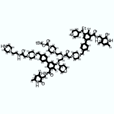 CCN(c1cc(-c2ccc(CN3CCN(CC(=O)N(CCN4CCN(C(=O)OC(C)(C)C)CC4)CCN(c4cc(-c5ccc(CN6CCN(CC(=O)NCCN7CCNCC7)CC6)cc5)cc(C(=O)NCc5c(C)cc(C)[nH]c5=O)c4C)C4CCOCC4)CC3)cc2)cc(C(=O)NCc2c(C)cc(C)[nH]c2=O)c1C)C1CCOCC1